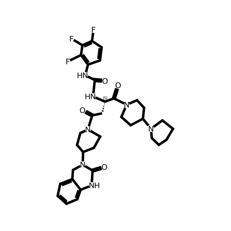 O=C(Nc1ccc(F)c(F)c1F)N[C@@H](CC(=O)N1CCC(N2Cc3ccccc3NC2=O)CC1)C(=O)N1CCC(N2CCCCC2)CC1